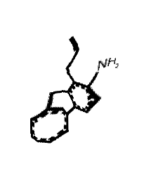 C=CCc1c(N)ccc2c1Cc1ccccc1-2